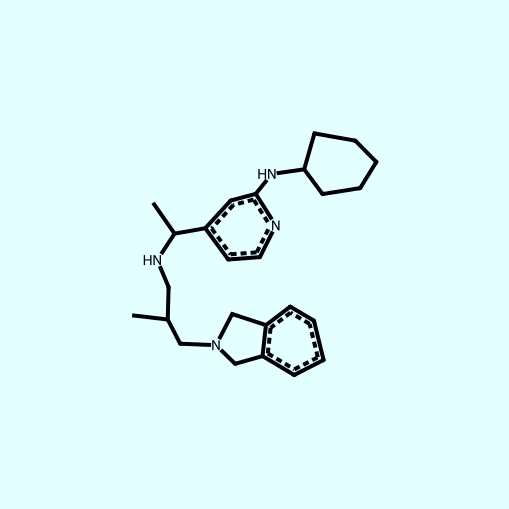 CC(CNC(C)c1ccnc(NC2CCCCC2)c1)CN1Cc2ccccc2C1